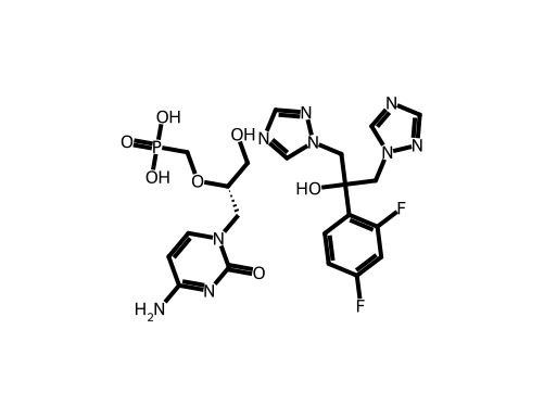 Nc1ccn(C[C@@H](CO)OCP(=O)(O)O)c(=O)n1.OC(Cn1cncn1)(Cn1cncn1)c1ccc(F)cc1F